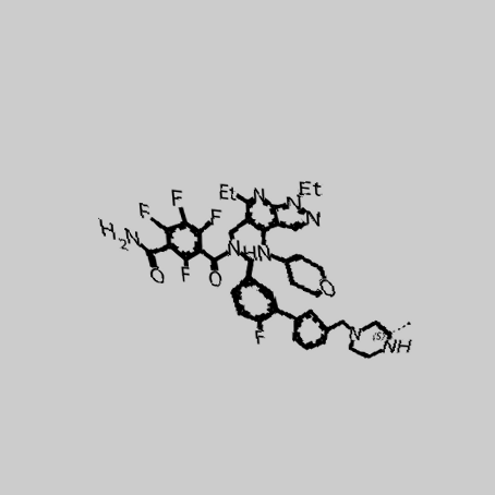 CCc1nc2c(cnn2CC)c(NC2CCOCC2)c1CN(Cc1ccc(F)c(-c2cccc(CN3CCN[C@@H](C)C3)c2)c1)C(=O)c1c(F)c(F)c(F)c(C(N)=O)c1F